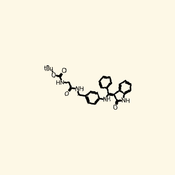 CC(C)(C)OC(=O)NCC(=O)NCc1ccc(N/C(=C2\C(=O)Nc3ccccc32)c2ccccc2)cc1